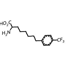 NC(CCCCCCc1ccc(C(F)(F)F)cc1)C(=O)O